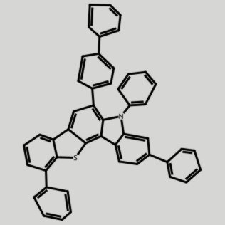 c1ccc(-c2ccc(-c3cc4c5cccc(-c6ccccc6)c5sc4c4c5ccc(-c6ccccc6)cc5n(-c5ccccc5)c34)cc2)cc1